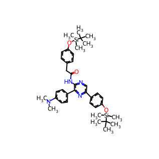 CN(C)c1ccc(-c2nc(-c3ccc(O[Si](C)(C)C(C)(C)C)cc3)cnc2NC(=O)Cc2ccc(O[Si](C)(C)C(C)(C)C)cc2)cc1